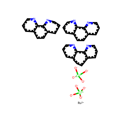 [O-][Cl+3]([O-])([O-])[O-].[O-][Cl+3]([O-])([O-])[O-].[Ru+2].c1cnc2c(c1)ccc1cccnc12.c1cnc2c(c1)ccc1cccnc12.c1cnc2c(c1)ccc1cccnc12